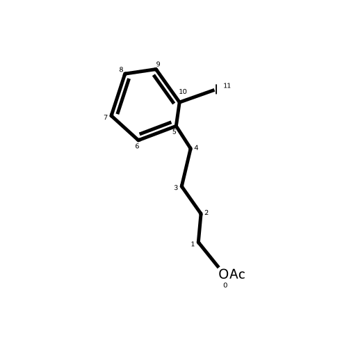 CC(=O)OCCCCc1ccccc1I